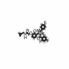 COc1c(OCC(=O)NCC2CC2)cccc1C1SC(c2ccc(F)cc2)=NN1C(=O)c1c(F)cc(F)cc1F